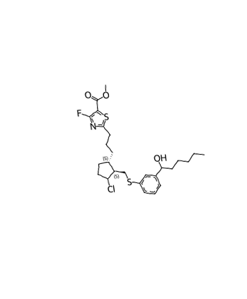 CCCCCC(O)c1cccc(SC[C@H]2C(Cl)CC[C@@H]2CCCc2nc(F)c(C(=O)OC)s2)c1